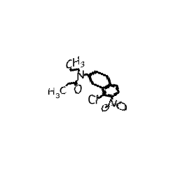 CCCN(C(=O)CC)C1CCc2ccc([N+](=O)[O-])c(Cl)c2C1